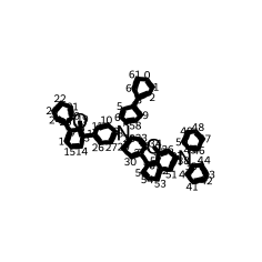 c1ccc(-c2ccc(N(c3ccc(-c4cccc5c4oc4ccccc45)cc3)c3ccc4c(c3)Oc3cc(N(c5ccccc5)c5ccccc5)cc5cccc-4c35)cc2)cc1